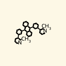 Cc1ncccc1-c1cccc(-c2c3ccccc3c(-c3cccc(-c4cccnc4C)c3)c3ccccc23)c1